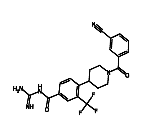 N#Cc1cccc(C(=O)N2CCC(c3ccc(C(=O)NC(=N)N)cc3C(F)(F)F)CC2)c1